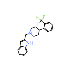 FC(F)(F)c1ccccc1C1CCN(Cc2cc3ccccc3[nH]2)CC1